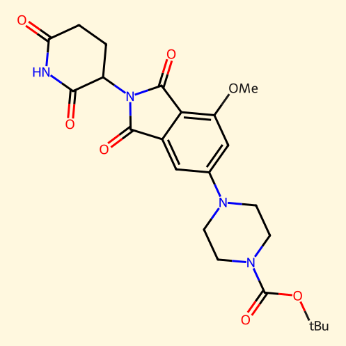 COc1cc(N2CCN(C(=O)OC(C)(C)C)CC2)cc2c1C(=O)N(C1CCC(=O)NC1=O)C2=O